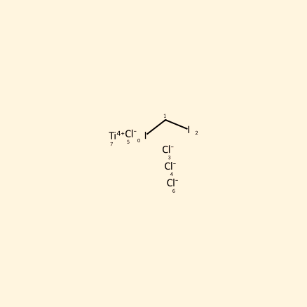 ICI.[Cl-].[Cl-].[Cl-].[Cl-].[Ti+4]